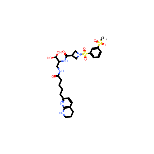 CS(=O)(=O)c1cccc(S(=O)(=O)N2CC(C(=O)NC(CNC(=O)CCCCc3ccc4c(n3)NCCC4)C(O)O)C2)c1